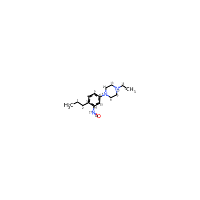 CCCc1ccc(N2CCN(CC)CC2)cc1N=O